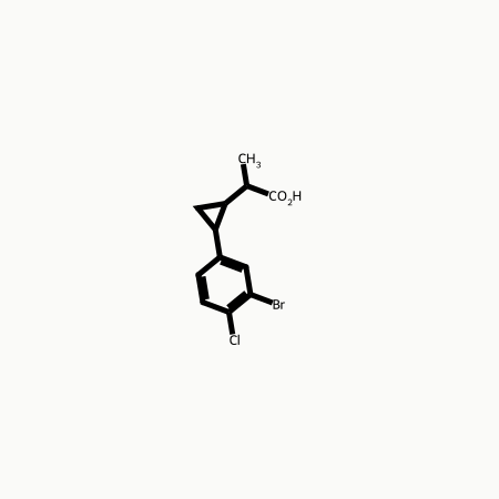 CC(C(=O)O)C1CC1c1ccc(Cl)c(Br)c1